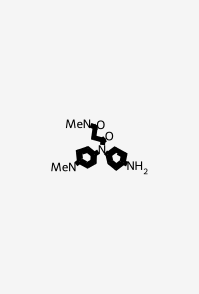 CNC(=O)CC(=O)N(c1ccc(N)cc1)c1ccc(NC)cc1